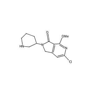 COc1nc(Cl)cc2c1C(=O)N(C1CCCNC1)C2